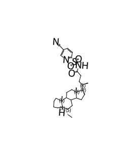 CC[C@H]1CC2C3CC[C@H]([C@H](C)CCC(=O)NS(=O)(=O)c4ccc(C#N)cn4)[C@@]3(C)CCC2[C@@]2(C)CCCC[C@@H]12